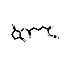 NOC(=O)CCCC(=O)ON1C(=O)CCC1=O